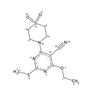 CCOc1nc(SC)nc(N2CCS(=O)(=O)CC2)c1C#N